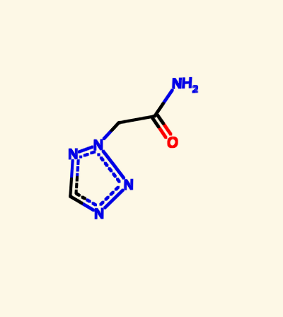 NC(=O)Cn1ncnn1